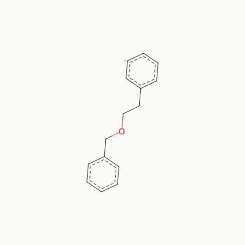 [c]1cccc(CCOCc2ccccc2)c1